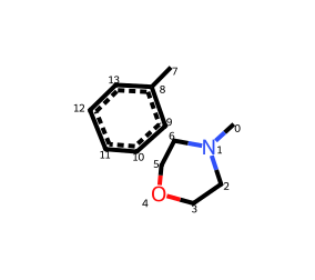 CN1CCOCC1.Cc1ccccc1